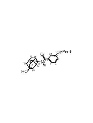 CCCC(C)Oc1cccc(C(=O)N(C)C2C3CC4CC2CC(O)(C4)C3)c1